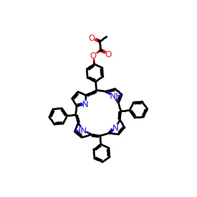 CC(=O)C(=O)Oc1ccc(-c2c3nc(c(-c4ccccc4)c4ccc([nH]4)c(-c4ccccc4)c4nc(c(-c5ccccc5)c5ccc2[nH]5)C=C4)C=C3)cc1